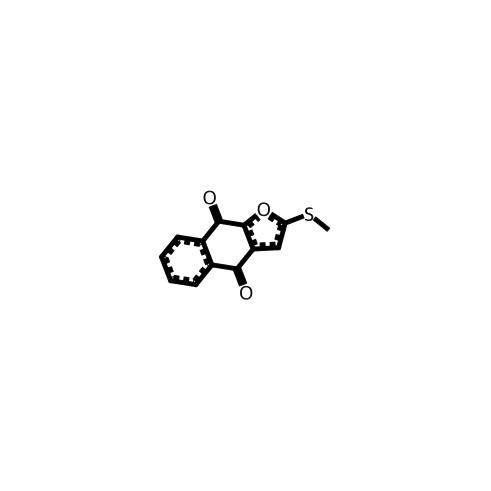 CSc1cc2c(o1)C(=O)c1ccccc1C2=O